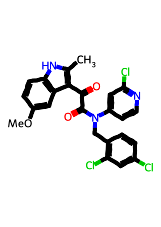 COc1ccc2[nH]c(C)c(C(=O)C(=O)N(Cc3ccc(Cl)cc3Cl)c3ccnc(Cl)c3)c2c1